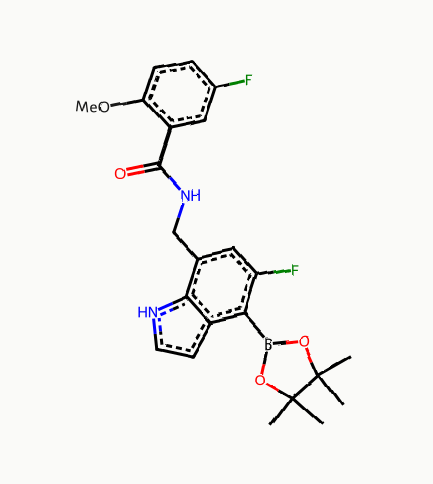 COc1ccc(F)cc1C(=O)NCc1cc(F)c(B2OC(C)(C)C(C)(C)O2)c2cc[nH]c12